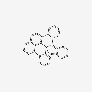 C1=c2ccccc2=C2c3ccccc3-c3ccc4cccc5c4c3C2(C1)c1ccccc1-5